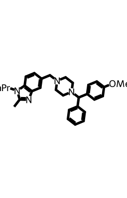 CCCn1c(C)nc2cc(CN3CCN(C(c4ccccc4)c4ccc(OC)cc4)CC3)ccc21